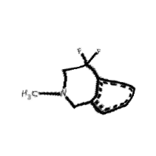 CN1Cc2ccccc2C(F)(F)C1